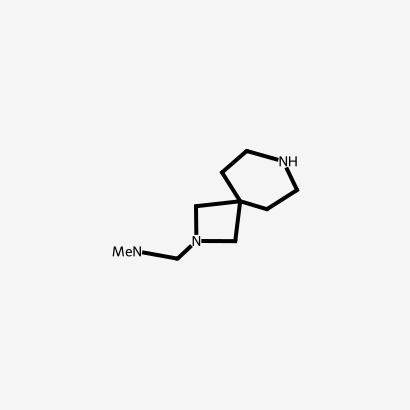 CNCN1CC2(CCNCC2)C1